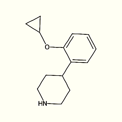 c1ccc(C2CCNCC2)c(OC2CC2)c1